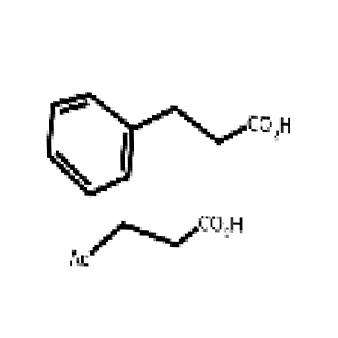 CC(=O)CCC(=O)O.O=C(O)CCc1ccccc1